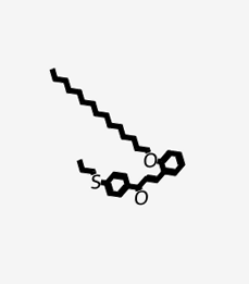 CCCCCCCCCCCCCCCOc1ccccc1C=CC(=O)c1ccc(SCCC)cc1